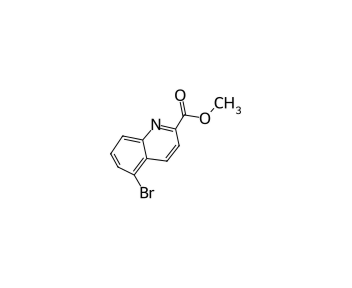 COC(=O)c1ccc2c(Br)cccc2n1